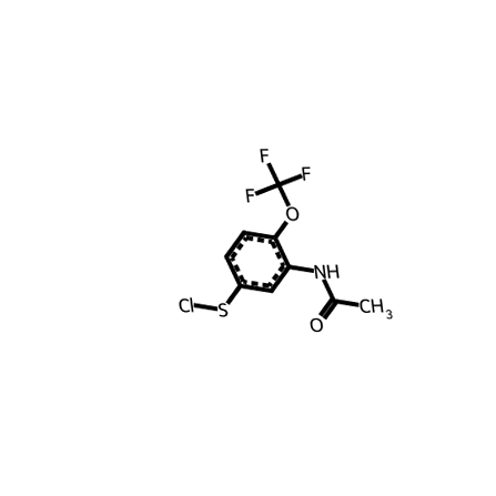 CC(=O)Nc1cc(SCl)ccc1OC(F)(F)F